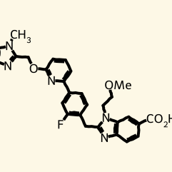 COCCn1c(Cc2ccc(-c3cccc(OCc4nccn4C)n3)cc2F)nc2ccc(C(=O)O)cc21